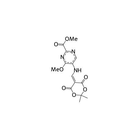 COC(=O)c1ncc(NC=C2C(=O)OC(C)(C)OC2=O)c(OC)n1